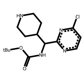 CC(C)(C)OC(=O)NC(c1nccc(Cl)n1)C1CCNCC1